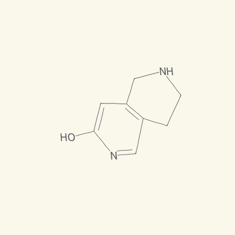 Oc1cc2c(cn1)CCNC2